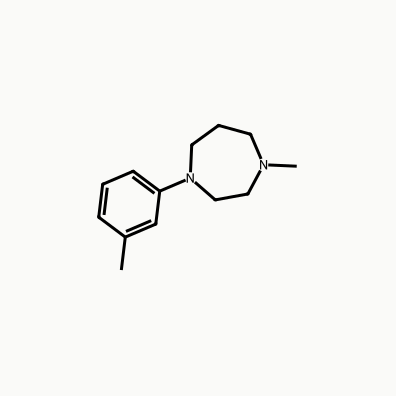 Cc1cccc(N2CCCN(C)CC2)c1